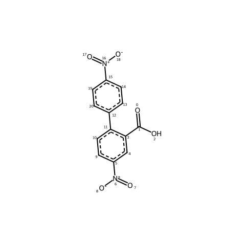 O=C(O)c1cc([N+](=O)[O-])ccc1-c1ccc([N+](=O)[O-])cc1